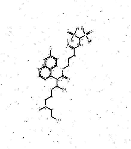 CCN(CCO)CCCC(C)N(C(=O)SCCCC(=O)NC(P(=O)(O)O)P(=O)(O)O)c1ccnc2cc(Cl)ccc12